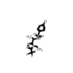 CCn1c(C(C)NS(=O)(=O)c2ccc(Cl)cc2)nnc1C(F)(F)F